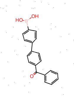 O=C(c1ccccc1)c1ccc(-c2ccc(B(O)O)cc2)cc1